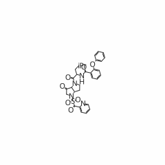 CC(C)CC(NC(=O)c1ccccc1Oc1ccccc1)C(=O)N1CCC2C1C(=O)CN2S(=O)(=O)C(=O)c1ccccn1